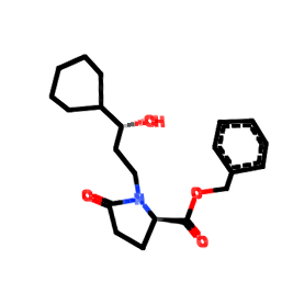 O=C(OCc1ccccc1)[C@H]1CCC(=O)N1CC[C@@H](O)C1CCCCC1